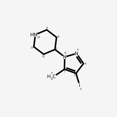 Cc1c(I)cnn1C1CCNCC1